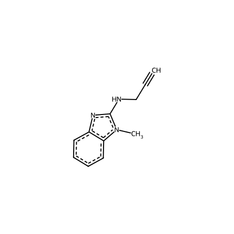 C#CCNc1nc2ccccc2n1C